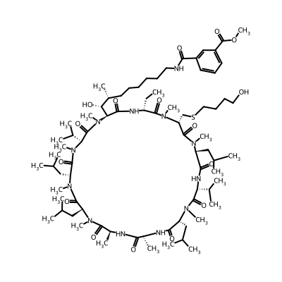 CC[C@H]1NC(=O)[C@H]([C@H](O)[C@H](C)CCCCCCNC(=O)c2cccc(C(=O)OC)c2)N(C)C(=O)[C@@H](C(C)C)N(C)C(=O)[C@@H](CC(C)C)N(C)C(=O)[C@H](CC(C)C)N(C)C(=O)[C@H](C)NC(=O)[C@@H](C)NC(=O)[C@@H](CC(C)C)N(C)C(=O)[C@@H](C(C)C)NC(=O)[C@H](CC(C)C)N(C)C(=O)[C@@H](CSCCCCO)N(C)C1=O